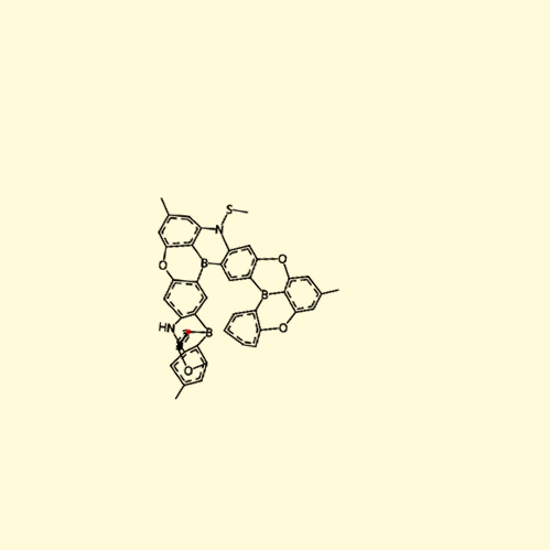 CSN1c2cc3c(cc2B2c4cc5c(cc4Oc4cc(C)cc1c42)Nc1cc(C)cc2c1B5c1ccccc1O2)B1c2ccccc2Oc2cc(C)cc(c21)O3